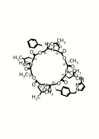 CC(C)C[C@H]1C(=O)O[C@H](Cc2ccc(Cn3ccc(Br)n3)cc2)C(=O)N(C)[C@@H](CC(C)C)C(=O)O[C@H](C)C(=O)N(C)[C@@H](CC(C)C)C(=O)O[C@H](Cc2ccccc2)C(=O)N(C)[C@@H](CC(C)C)C(=O)O[C@H](C)C(=O)N1C